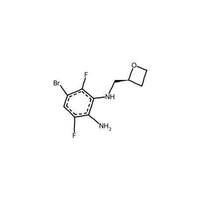 Nc1c(F)cc(Br)c(F)c1NC[C@@H]1CCO1